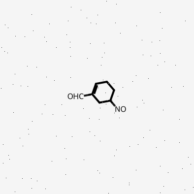 O=CC1=CCCC(N=O)C1